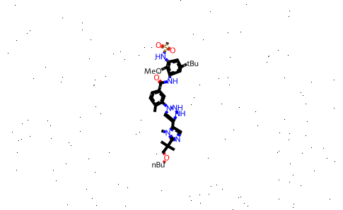 CCCCOCC(C)(C)c1ncc(C2=CN(c3cc(C(=O)Nc4cc(C(C)(C)C)cc(NS(C)(=O)=O)c4OC)ccc3C)NN2)n1C